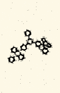 c1ccc(-c2nc(-c3ccc(N4c5ccccc5N(c5ccccc5)c5ccccc54)cc3)nc(-c3ccc4c(c3)Sc3ccccc3C43c4ccccc4-c4ccccc43)n2)cc1